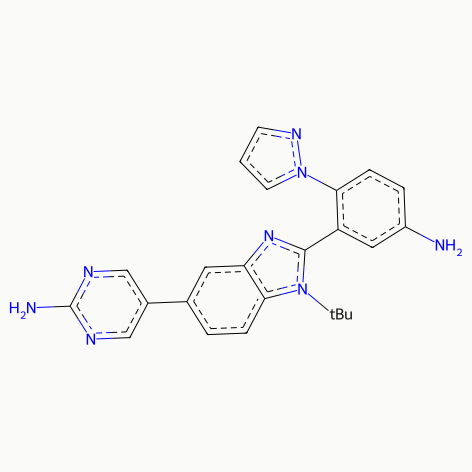 CC(C)(C)n1c(-c2cc(N)ccc2-n2cccn2)nc2cc(-c3cnc(N)nc3)ccc21